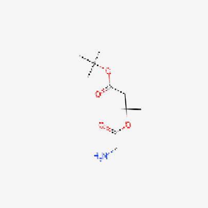 CC(C)(C)OC(=O)CC(C)(C)OC(=O)CN